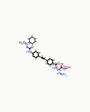 CN(CC(=O)Nc1ccc(C#Cc2ccc(C(=O)N[C@@H](CN)C(=O)NO)cc2)cc1)C1CCCCC1